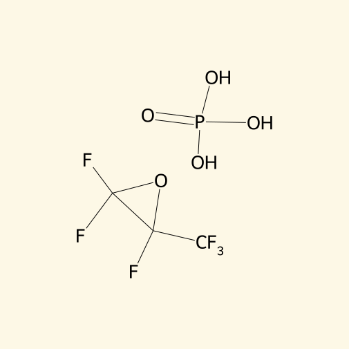 FC(F)(F)C1(F)OC1(F)F.O=P(O)(O)O